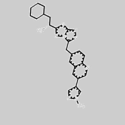 Cn1cc(-c2cnc3ccc(Cc4nnc5sc([C@H](N)CC6CCCCC6)nn45)cc3c2)cn1